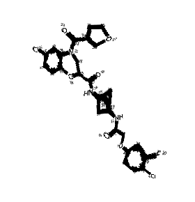 O=C(COc1ccc(Cl)c(F)c1)NC12CC(NC(=O)C3CN(C(=O)C4CCOC4)c4cc(Cl)ccc4O3)(C1)C2